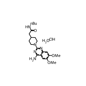 CCCCNC(=O)CC1CCN(c2nc(N)c3cc(OC)c(OC)cc3n2)CC1.Cl.O